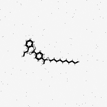 CCCCCCCCCCOC(C)c1ccc(C(=O)Oc2ccccc2CCC)cc1